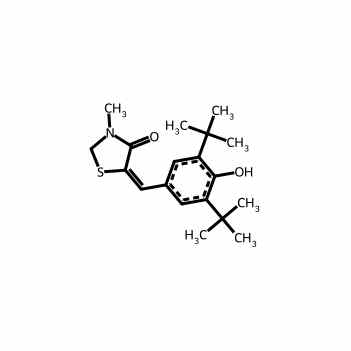 CN1CSC(=Cc2cc(C(C)(C)C)c(O)c(C(C)(C)C)c2)C1=O